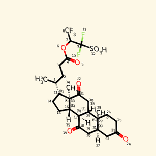 CC(CCC(=O)OC(C(F)(F)F)C(F)(F)S(=O)(=O)O)[C@H]1CC[C@H]2[C@@H]3C(=O)C[C@@H]4CC(=O)CC[C@]4(C)[C@H]3CC(=O)[C@]12C